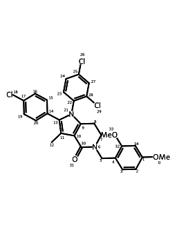 COc1ccc(CN2CCc3c(c(C)c(-c4ccc(Cl)cc4)n3-c3ccc(Cl)cc3Cl)C2=O)c(OC)c1